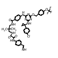 CC(C)(CNC(=O)C(=O)Nc1ccc(C=N)cc1)CNC(=O)c1ccc(Nc2nc(NC3(c4ccc(Cl)cc4)CC3)nc(OCc3ccc(OC(F)(F)F)cc3)n2)cc1